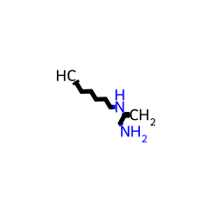 C#CCCCCCNC(=C)CN